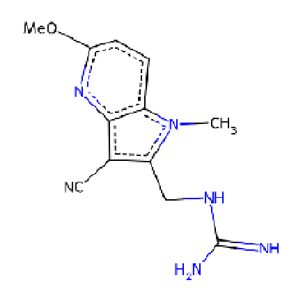 COc1ccc2c(n1)c(C#N)c(CNC(=N)N)n2C